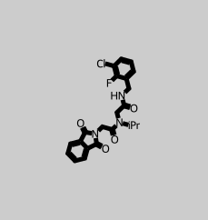 CC(C)N(CC(=O)NCc1cccc(Cl)c1F)C(=O)CN1C(=O)c2ccccc2C1=O